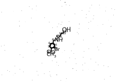 COC(=O)c1ccc(CNSCCCO)cc1Br